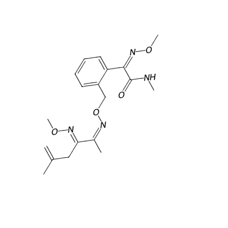 C=C(C)CC(=NOC)C(C)=NOCc1ccccc1C(=NOC)C(=O)NC